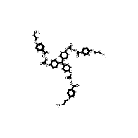 CCCOc1ccc(C(=O)OOC(=O)OC2CCC(C(C3CCC(OC(=O)OOC(=O)c4ccc(OCCC)cc4)CC3)C3CCC(OC(=O)OOC(=O)c4ccc(OCCC)cc4)CC3)CC2)cc1